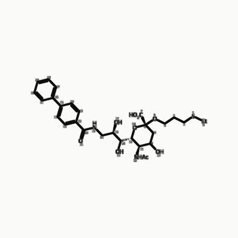 CCSCCCO[C@]1(C(=O)O)CC(O)[C@@H](NC(C)=O)[C@H](C(O)[C@H](O)CNC(=O)c2ccc(-c3ccccc3)cc2)O1